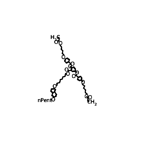 C=CC(=O)OCCCCCCOc1ccc(C(=O)Oc2ccc(OC(=O)c3ccc(OCCCCCCOC(=O)C=C)cc3)c(C(=O)OCCCCCCCCOc3ccc4cc(OCCCCC)ccc4c3)c2)cc1